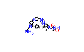 NCCCn1cc(-c2ccc(C(F)(F)F)cc2)c2cc(CN3CCC(CN4CCN(c5ccc6c(c5)CN(C5CCC(=O)NC5=O)C6)CC4)CC3)ccc21